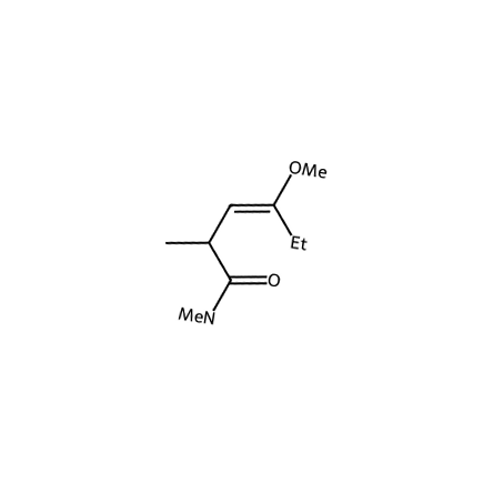 CC/C(=C\C(C)C(=O)NC)OC